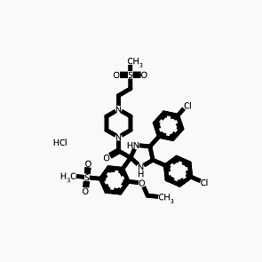 CCOc1ccc(S(C)(=O)=O)cc1C1(C(=O)N2CCN(CCS(C)(=O)=O)CC2)NC(c2ccc(Cl)cc2)C(c2ccc(Cl)cc2)N1.Cl